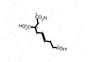 CCCCCCCCCCC=CCC(CC(=O)O)C(=O)O